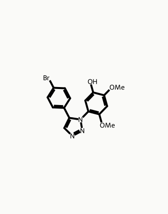 COc1cc(OC)c(-n2nncc2-c2ccc(Br)cc2)cc1O